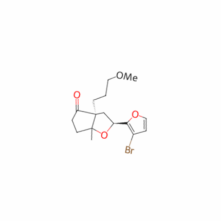 COCCC[C@]12C[C@@H](c3occc3Br)OC1(C)CCC2=O